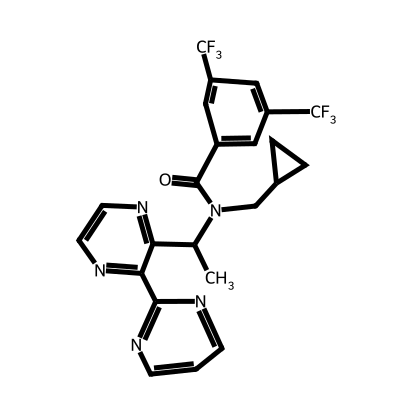 CC(c1nccnc1-c1ncccn1)N(CC1CC1)C(=O)c1cc(C(F)(F)F)cc(C(F)(F)F)c1